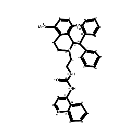 COc1ccc(OC)c2c1CCN(CCNC(=O)Nc1ccnc3ccccc13)C2C(c1ccccc1)c1ccccc1